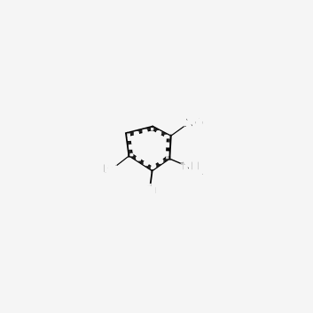 CCc1c(Br)ccc([N+](=O)[O-])c1N